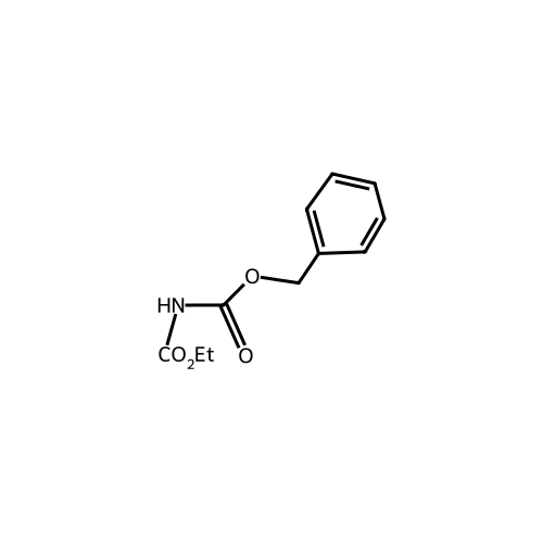 CCOC(=O)NC(=O)OCc1ccccc1